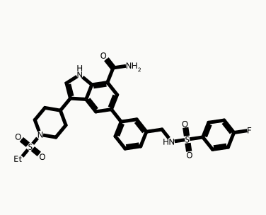 CCS(=O)(=O)N1CCC(c2c[nH]c3c(C(N)=O)cc(-c4cccc(CNS(=O)(=O)c5ccc(F)cc5)c4)cc23)CC1